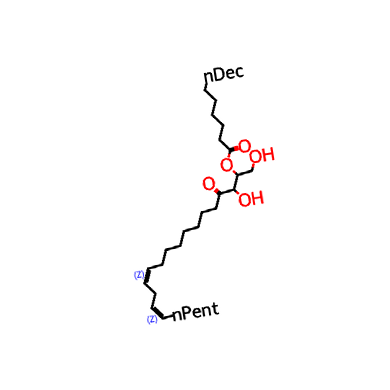 CCCCC/C=C\C/C=C\CCCCCCCC(=O)C(O)C(CO)OC(=O)CCCCCCCCCCCCCCC